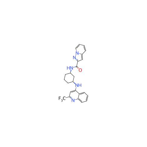 O=C(N[C@@H]1CCC[C@H](Nc2cc(C(F)(F)F)nc3ccccc23)C1)c1cc2ccccn2n1